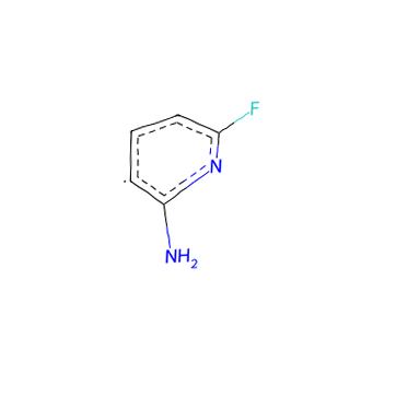 Nc1[c]ccc(F)n1